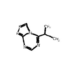 CC(C)c1ncnc2nncn12